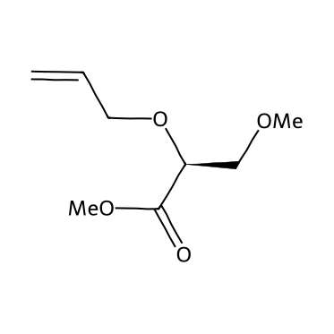 C=CCO[C@@H](COC)C(=O)OC